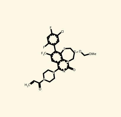 C=CC(=O)N1CCN(c2nc(=O)n3c4c(c(-c5cc(Cl)c(F)cc5F)c(C(F)(F)F)cc24)SC[C@H](OCOC)C3)CC1